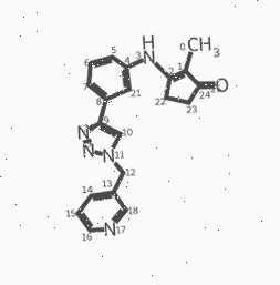 CC1=C(Nc2cccc(-c3cn(Cc4cccnc4)nn3)c2)CCC1=O